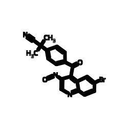 CC(C)(C#N)c1ccc(C(=O)c2c(N=O)cnc3ccc(Br)cc23)cc1